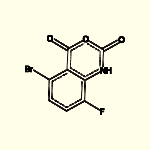 O=c1[nH]c2c(F)ccc(Br)c2c(=O)o1